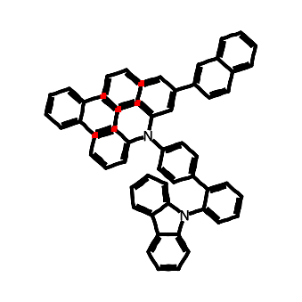 c1ccc(-c2ccccc2N(c2ccc(-c3ccccc3-n3c4ccccc4c4ccccc43)cc2)c2cc(-c3ccc4ccccc4c3)ccc2-c2ccc3ccccc3c2)cc1